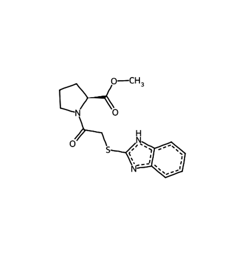 COC(=O)[C@@H]1CCCN1C(=O)CSc1nc2ccccc2[nH]1